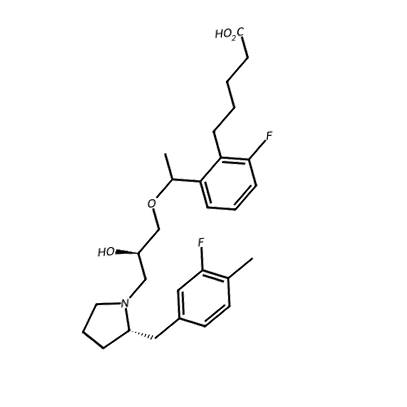 Cc1ccc(C[C@@H]2CCCN2C[C@@H](O)COC(C)c2cccc(F)c2CCCCC(=O)O)cc1F